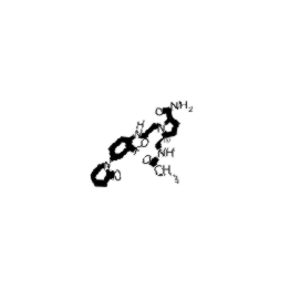 CC(=O)NC[C@@H]1C[CH]C(C(N)=O)N1CC(=O)Nc1ccc(-n2ccccc2=O)cc1F